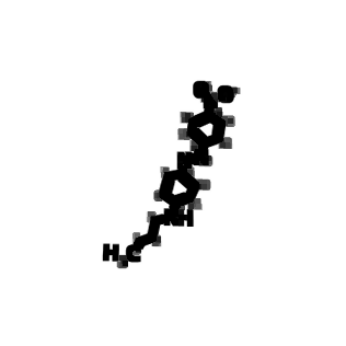 CCCCNc1ccc(/N=N/c2ccc([N+](=O)[O-])cc2)cc1